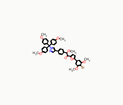 COc1ccc(C(c2ccc(OC)cc2)(c2ccc(OC)cc2)n2cc(-c3ccc(C(OC)C(=O)c4ccc(-c5cc(OC)c(Br)c(OC)c5)o4)cc3)cn2)cc1